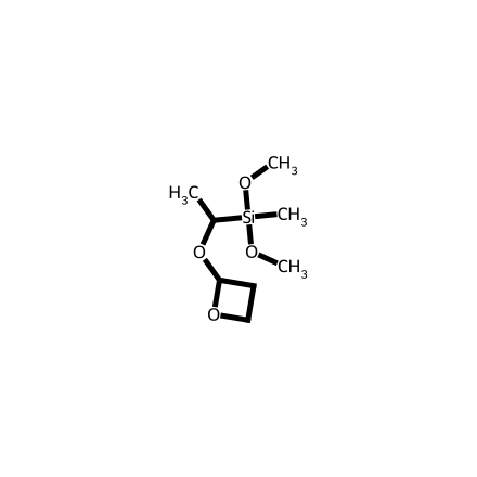 CO[Si](C)(OC)C(C)OC1CCO1